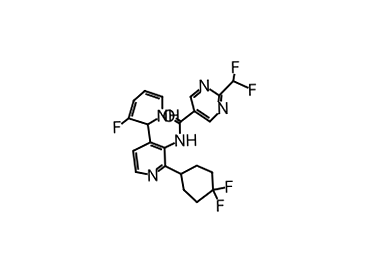 O=C(Nc1c(C2NC=CC=C2F)ccnc1C1CCC(F)(F)CC1)c1cnc(C(F)F)nc1